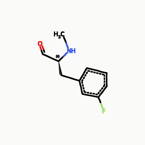 CN[C@@H](C=O)Cc1cccc(F)c1